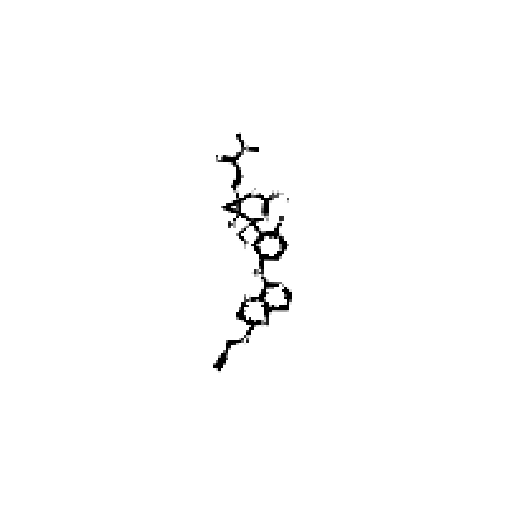 C#CCOc1cnc2c(Nc3ccc(F)c([C@@]4(CF)N=C(N)S[C@@]5(C=CC(=O)N(C)C)C[C@H]54)c3)nccc2n1